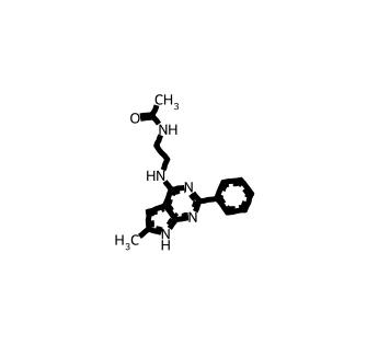 CC(=O)NCCNc1nc(-c2ccccc2)nc2[nH]c(C)cc12